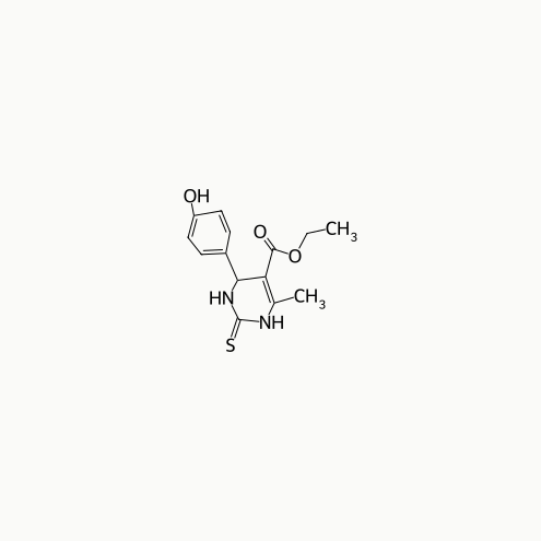 CCOC(=O)C1=C(C)NC(=S)NC1c1ccc(O)cc1